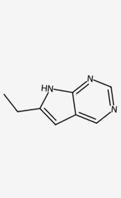 CCc1cc2cncnc2[nH]1